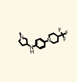 CN1CCC(Nc2ccc(N3CCC(C(F)(F)F)CC3)cc2)C1